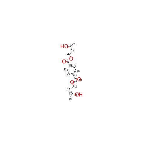 CC(O)CCOC(=O)c1ccc(C(=O)OCCC(C)O)cc1